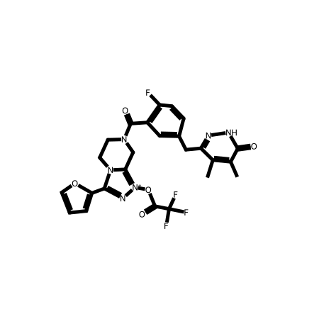 Cc1c(Cc2ccc(F)c(C(=O)N3CCn4c(-c5ccco5)n[n+](OC(=O)C(F)(F)F)c4C3)c2)n[nH]c(=O)c1C